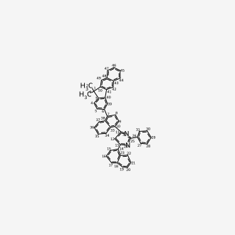 CC1(C)c2ccc(-c3ccc(-c4cc(-c5cccc6ccccc56)nc(-c5ccccc5)n4)c4ccccc34)cc2-c2cc3ccccc3cc21